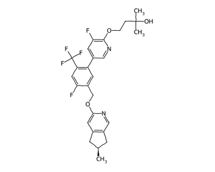 C[C@@H]1Cc2cnc(OCc3cc(-c4cnc(OCCC(C)(C)O)c(F)c4)c(C(F)(F)F)cc3F)cc2C1